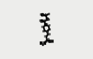 CC(=O)OC(=O)N1CCC(CCC(=N)N)CC1